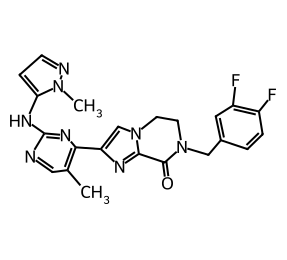 Cc1cnc(Nc2ccnn2C)nc1-c1cn2c(n1)C(=O)N(Cc1ccc(F)c(F)c1)CC2